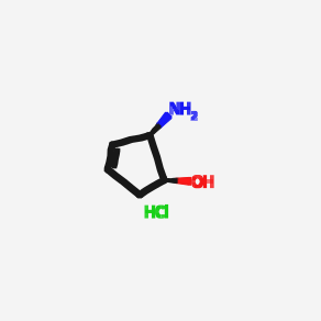 Cl.N[C@@H]1C=CC[C@@H]1O